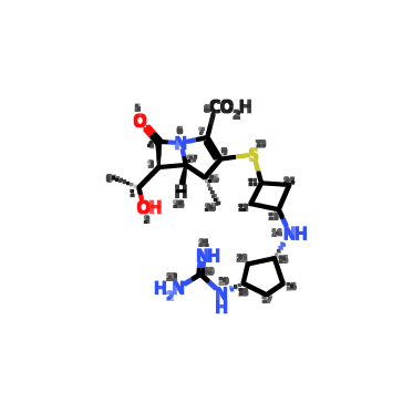 C[C@@H](O)[C@H]1C(=O)N2C(C(=O)O)=C(SC3CC(N[C@@H]4CC[C@H](NC(=N)N)C4)C3)[C@H](C)[C@H]12